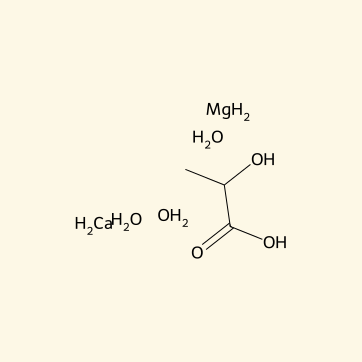 CC(O)C(=O)O.O.O.O.[CaH2].[MgH2]